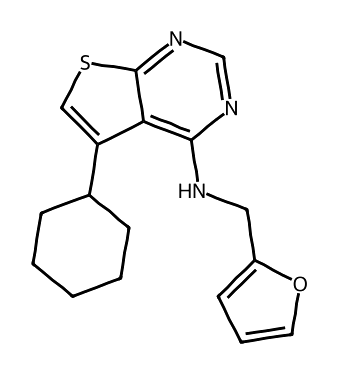 c1coc(CNc2ncnc3scc(C4CCCCC4)c23)c1